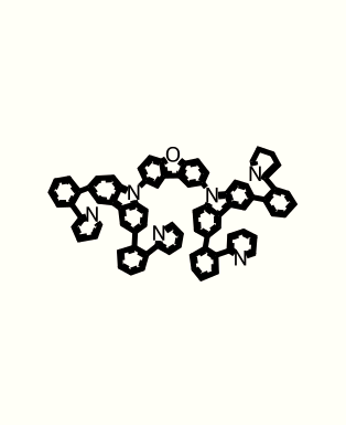 C1=NC(c2ccccc2-c2ccc3c(c2)c2cc(-c4ccccc4-c4ccccn4)ccc2n3-c2ccc3oc4ccc(-n5c6ccc(-c7ccccc7-c7ccccn7)cc6c6cc(-c7ccccc7-c7ccccn7)ccc65)cc4c3c2)=CCC1